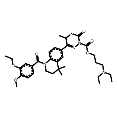 CCOc1cc(C(=O)N2CCC(C)(C)c3cc(C4=NN(C(=O)OCCCN(CC)CC)C(=O)SC4C)ccc32)ccc1OC